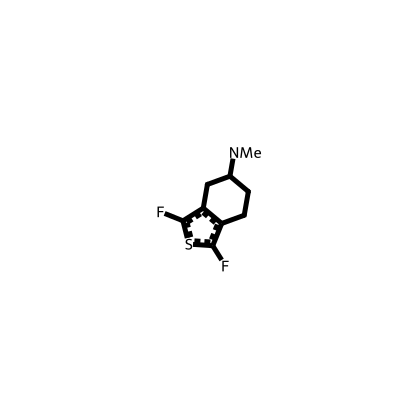 CNC1CCc2c(F)sc(F)c2C1